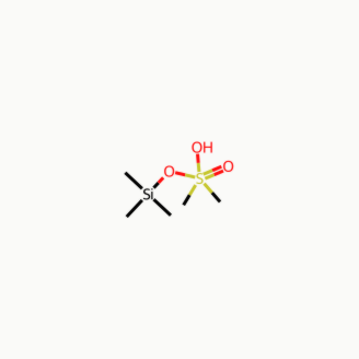 C[Si](C)(C)OS(C)(C)(=O)O